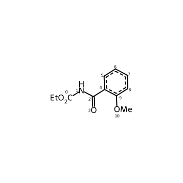 CCOC(=O)NC(=O)c1ccccc1OC